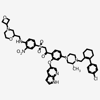 C[C@@H]1CN(c2ccc(C(=O)CS(=O)(=O)c3ccc(NCC4CN(C5COC5)CCO4)c([N+](=O)[O-])c3)c(Oc3cnc4[nH]ccc4c3)c2)CCN1CC1=C(c2ccc(Cl)cc2)CCCC1